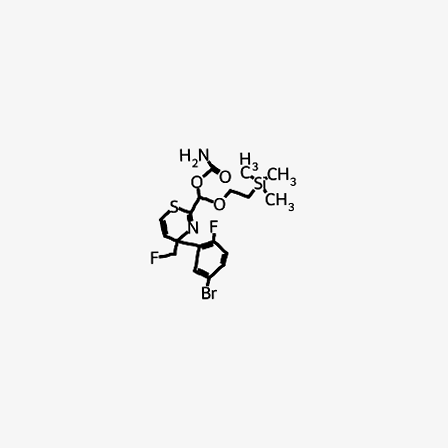 C[Si](C)(C)CCOC(OC(N)=O)C1=NC(CF)(c2cc(Br)ccc2F)C=CS1